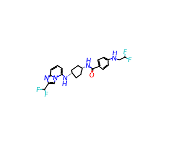 O=C(N[C@H]1CC[C@@H](Nc2cccc3nc(C(F)F)cn23)CC1)c1ccc(NCC(F)F)cc1